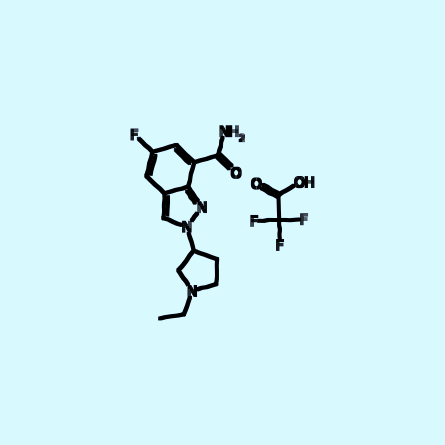 CCN1CCC(n2cc3cc(F)cc(C(N)=O)c3n2)C1.O=C(O)C(F)(F)F